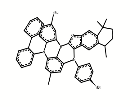 CC[C@H](C)c1ccc(N2c3cc(C)cc4c3B(c3cc(C(C)(C)C)ccc3N4c3ccccc3-c3ccccc3)c3oc4cc5c(cc4c32)C(C)CCC5(C)C)cc1